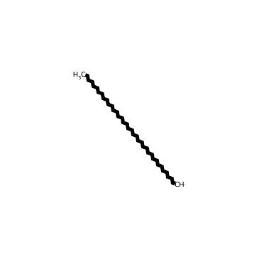 [CH]=CCCCCCCCCCCCCCCCCCCCCCCCCCCCCCCCCCCCC